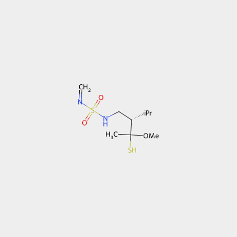 C=NS(=O)(=O)NC[C@H](C(C)C)C(C)(S)OC